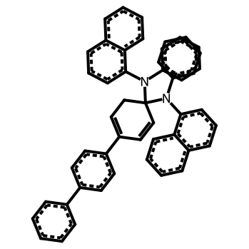 C1=CC(N(c2ccccc2)c2cccc3ccccc23)(N(c2ccccc2)c2cccc3ccccc23)CC=C1c1ccc(-c2ccccc2)cc1